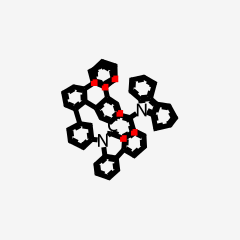 c1ccc(-c2ccccc2-c2c(-c3ccccc3)cccc2-c2cccc(N(c3ccc(-n4c5ccccc5c5ccccc54)cc3)c3ccccc3-c3ccccc3)c2)cc1